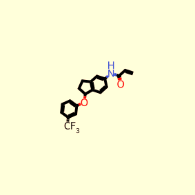 C=CC(=O)Nc1ccc2c(c1)CCC2Oc1cccc(C(F)(F)F)c1